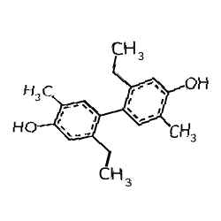 CCc1cc(O)c(C)cc1-c1cc(C)c(O)cc1CC